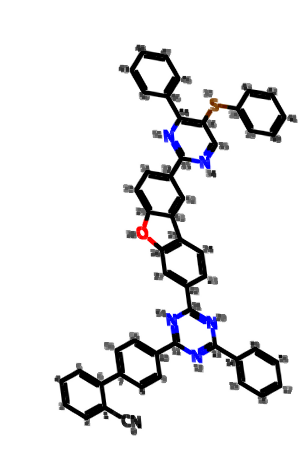 N#Cc1ccccc1-c1ccc(-c2nc(-c3ccccc3)nc(-c3ccc4c(c3)oc3ccc(-c5ncc(Sc6ccccc6)c(-c6ccccc6)n5)cc34)n2)cc1